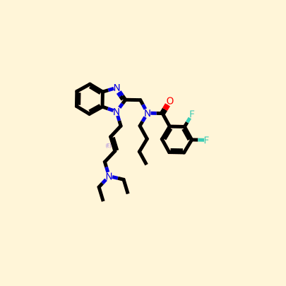 CCCCN(Cc1nc2ccccc2n1C/C=C/CN(CC)CC)C(=O)c1cccc(F)c1F